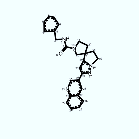 O=C(NCc1ccccc1)N1CCC2(CCn3nc(-c4cnc5ccccc5c4)cc32)C1